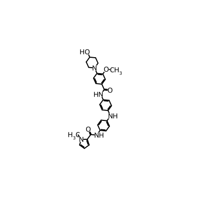 COc1cc(C(=O)Nc2ccc(Nc3ccc(NC(=O)c4cccn4C)cc3)cc2)ccc1N1CCC(O)CC1